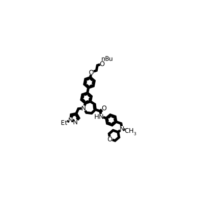 CCCCOCCOc1ccc(-c2ccc3c(c2)C=C(C(=O)Nc2ccc(CN(C)C4CCOCC4)cc2)CCN3Cc2cnn(CC)c2)cc1